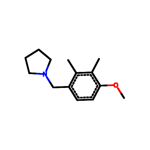 COc1ccc(CN2CCCC2)c(C)c1C